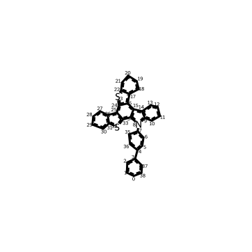 c1ccc(-c2ccc(-n3c4ccccc4c4c5c6ccccc6sc5c5c6ccccc6sc5c43)cc2)cc1